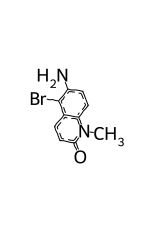 Cn1c(=O)ccc2c(Br)c(N)ccc21